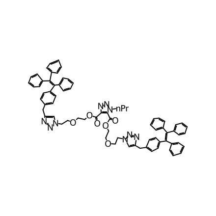 CCCn1nnc(C(=O)OCCOCCn2cc(Cc3ccc(C(=C(c4ccccc4)c4ccccc4)c4ccccc4)cc3)nn2)c1C(=O)OCCOCCn1cc(Cc2ccc(C(=C(c3ccccc3)c3ccccc3)c3ccccc3)cc2)nn1